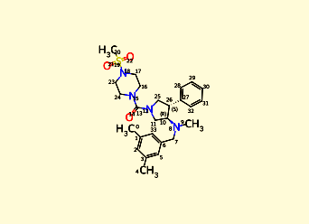 Cc1cc(C)cc(CN(C)[C@H]2CN(C(=O)N3CCN(S(C)(=O)=O)CC3)C[C@@H]2c2ccccc2)c1